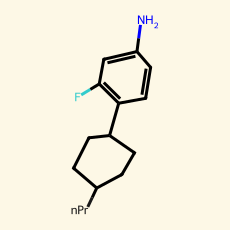 CCCC1CCC(c2ccc(N)cc2F)CC1